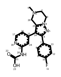 CN1CCn2nc(-c3ccc(F)cc3)c(-c3ccnc(NC(=O)O)c3)c2C1